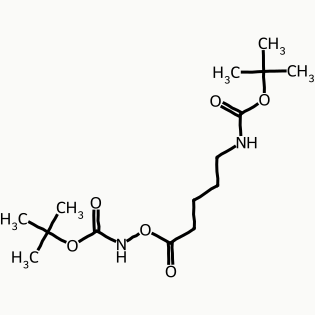 CC(C)(C)OC(=O)NCCCCC(=O)ONC(=O)OC(C)(C)C